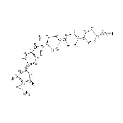 CCCCCC1CCC(C2CCC(C3CCC(C(F)(F)Oc4ccc(-c5cc(F)c(OC(F)(F)F)c(F)c5)cc4)CC3)CC2)CC1